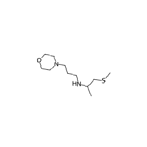 CSCC(C)NCCCN1CCOCC1